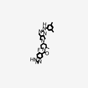 Cc1cc(C)cc(Nc2ncc3c(n2)CN([C@@H]2CCN(C(=O)c4cc5nn[nH]c5cc4F)[C@H](C)C2)C3)c1